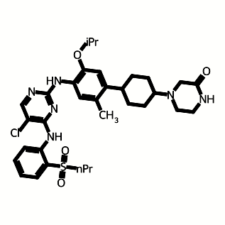 CCCS(=O)(=O)c1ccccc1Nc1nc(Nc2cc(C)c(C3CCC(N4CCNC(=O)C4)CC3)cc2OC(C)C)ncc1Cl